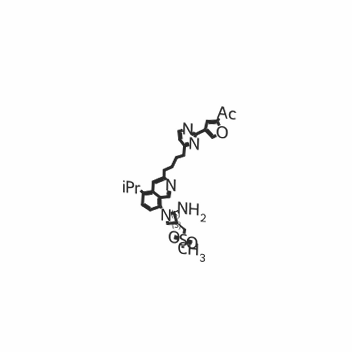 CC(=O)c1cc(-c2nccc(CCCCc3cc4c(C(C)C)ccc(N5C[C@H](CS(C)(=O)=O)[C@H]5N)c4cn3)n2)co1